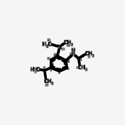 CC(C)Pc1ccc(C(C)C)cc1N(C)C